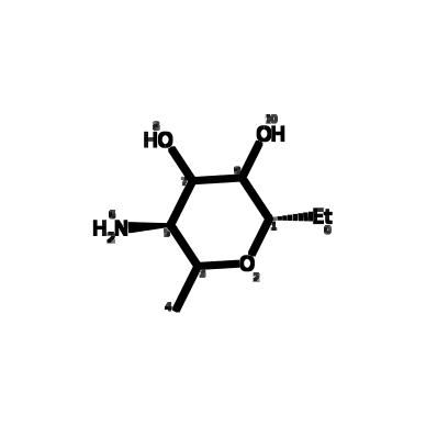 CC[C@@H]1OC(C)[C@@H](N)C(O)C1O